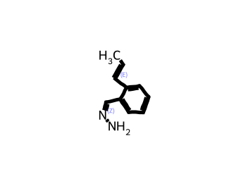 C/C=C/c1ccccc1/C=N\N